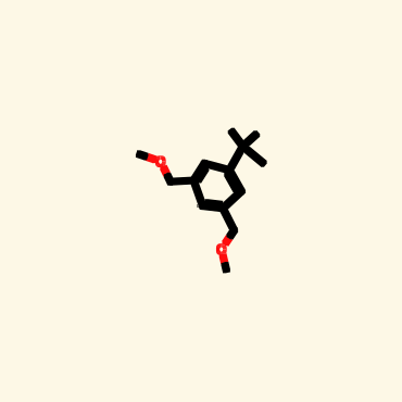 COCc1[c]c(COC)cc(C(C)(C)C)c1